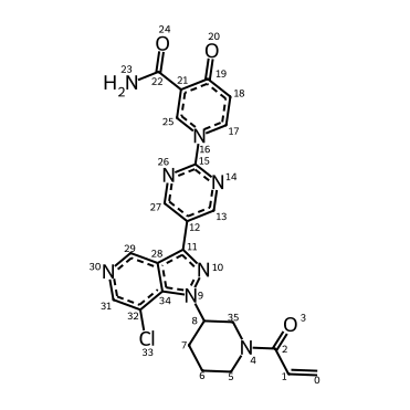 C=CC(=O)N1CCCC(n2nc(-c3cnc(-n4ccc(=O)c(C(N)=O)c4)nc3)c3cncc(Cl)c32)C1